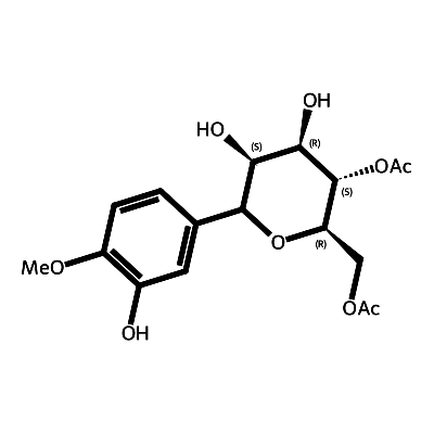 COc1ccc(C2O[C@H](COC(C)=O)[C@@H](OC(C)=O)[C@H](O)[C@@H]2O)cc1O